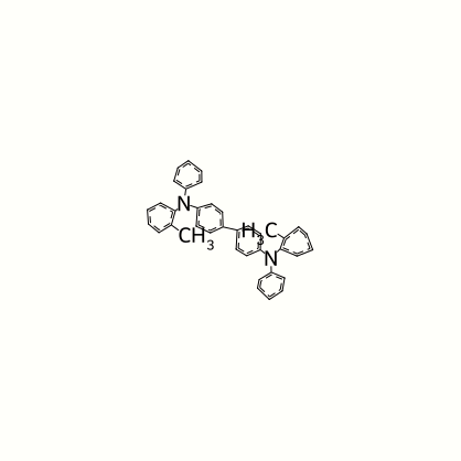 Cc1ccccc1N(c1ccccc1)c1ccc(-c2ccc(N(c3ccccc3)c3ccccc3C)cc2)cc1